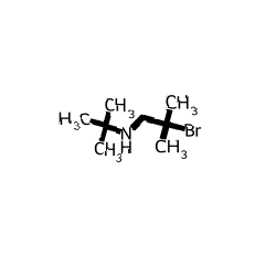 CC(C)(Br)CNC(C)(C)C